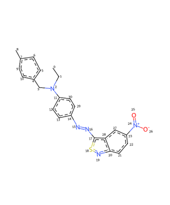 CCN(Cc1ccc(C)cc1)c1ccc(N=Nc2snc3ccc([N+](=O)[O-])cc23)cc1